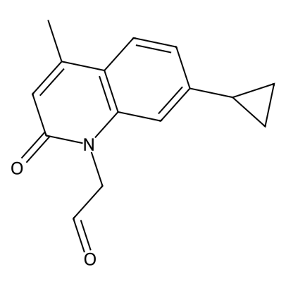 Cc1cc(=O)n(CC=O)c2cc(C3CC3)ccc12